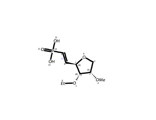 CCO[C@H]1[C@@H](OC)CO[C@@H]1/C=C/P(=O)(O)O